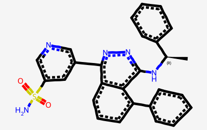 C[C@@H](Nc1nnc(-c2cncc(S(N)(=O)=O)c2)c2cccc(-c3ccccc3)c12)c1ccccc1